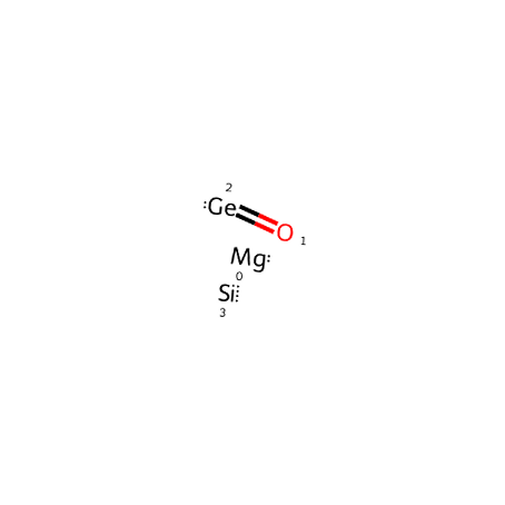 [Mg].[O]=[Ge].[Si]